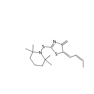 C=c1nc(SN2C(C)(C)CCCC2(C)C)s/c1=C/C=C\C